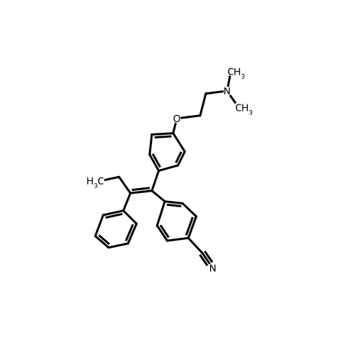 CCC(=C(c1ccc(C#N)cc1)c1ccc(OCCN(C)C)cc1)c1ccccc1